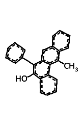 Cc1c2ccccc2cc2c(-c3ccccc3)c(O)c3ccccc3c12